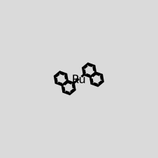 c1ccc2[c]([Ru][c]3cccc4ccccc34)cccc2c1